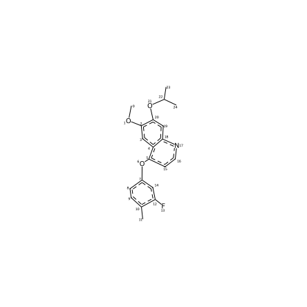 COc1cc2c(Oc3ccc(C)c(F)c3)ccnc2cc1OC(C)C